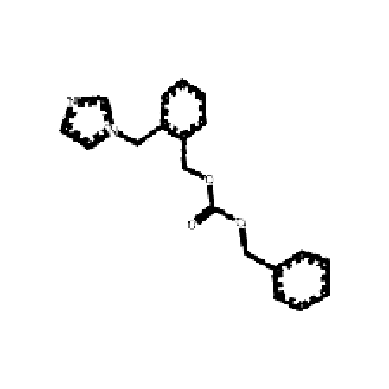 O=C(OCc1ccccc1)OCc1ccccc1Cn1ccnc1